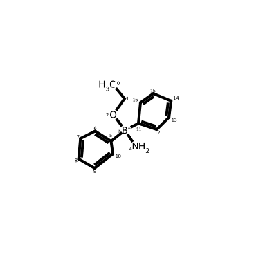 CCO[B-](N)(c1ccccc1)c1ccccc1